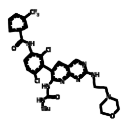 CC(C)(C)NC(=O)Nc1nc2nc(NCCN3CCOCC3)ncc2cc1-c1c(Cl)ccc(NC(=O)c2cccc(C(F)(F)F)c2)c1Cl